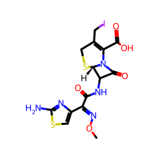 CON=C(C(=O)NC1C(=O)N2C(C(=O)O)=C(CI)CS[C@@H]12)c1csc(N)n1